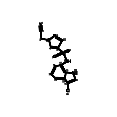 N#CCn1cc(S(=O)(=O)Nc2cccc3c(Cl)c[nH]c23)cn1